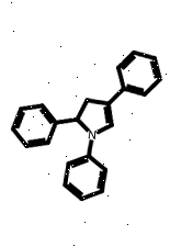 C1=C(c2ccccc2)CC(c2ccccc2)N1c1ccccc1